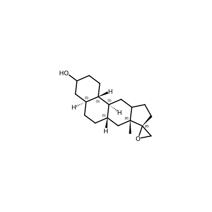 C[C@@]12C[C@@H]3CC[C@H]4CC(O)CC[C@@H]4[C@H]3CC1CC[C@]21CO1